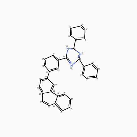 c1ccc(-c2nc(-c3ccccc3)nc(-c3cccc(-c4ccc5ccc6ccccc6c5c4)c3)n2)cc1